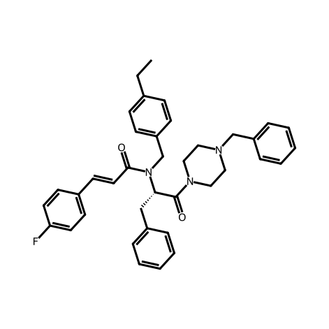 CCc1ccc(CN(C(=O)C=Cc2ccc(F)cc2)[C@@H](Cc2ccccc2)C(=O)N2CCN(Cc3ccccc3)CC2)cc1